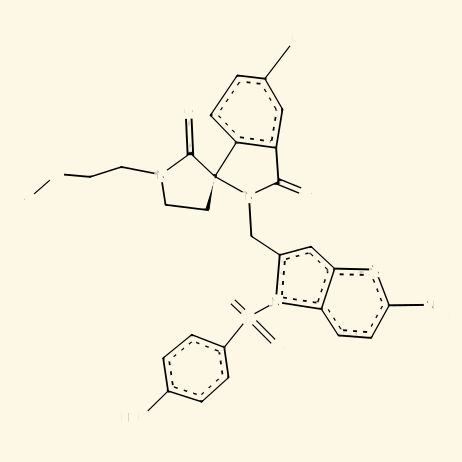 Cc1ccc(S(=O)(=O)n2c(CN3C(=O)c4cc(F)ccc4[C@]34CCN(CCOC(F)(F)F)C4=O)cc3nc(N)ccc32)cc1